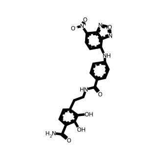 NC(=O)c1ccc(CCNC(=O)c2ccc(Nc3ccc([N+](=O)[O-])c4nonc34)cc2)c(O)c1O